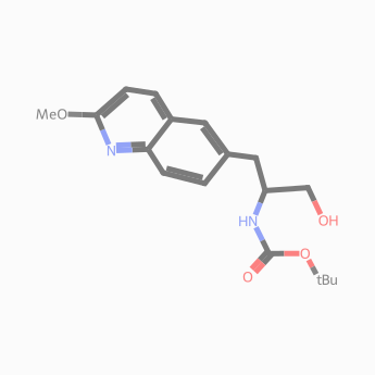 COc1ccc2cc(CC(CO)NC(=O)OC(C)(C)C)ccc2n1